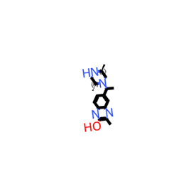 Cc1nc2cc(C(C)N3C[C@H](C)NC[C@H]3C)ccc2nc1O